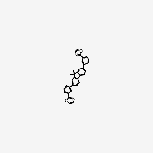 CC1(C)c2cc(-c3cccc(-c4ncco4)c3)ccc2-c2ccc(-c3cccc(-c4ncco4)c3)cc21